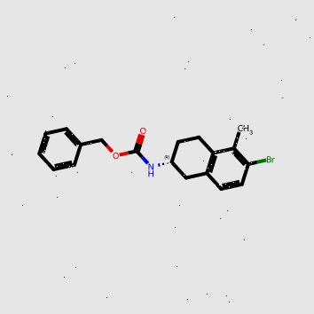 Cc1c(Br)ccc2c1CC[C@@H](NC(=O)OCc1ccccc1)C2